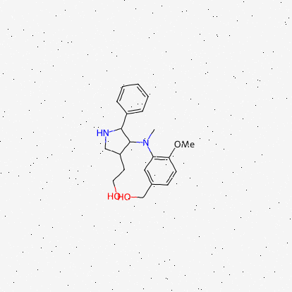 COc1ccc(CO)cc1N(C)C1C(CCO)CNC1c1ccccc1